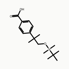 CC(C)(CO[Si](C)(C)C(C)(C)C)c1ccc(C(=O)O)cc1